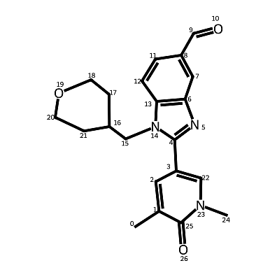 Cc1cc(-c2nc3cc(C=O)ccc3n2CC2CCOCC2)cn(C)c1=O